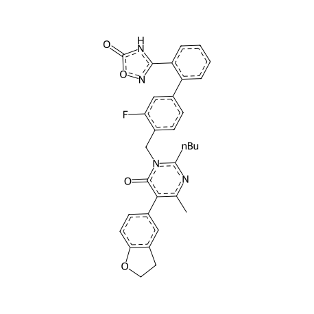 CCCCc1nc(C)c(-c2ccc3c(c2)CCO3)c(=O)n1Cc1ccc(-c2ccccc2-c2noc(=O)[nH]2)cc1F